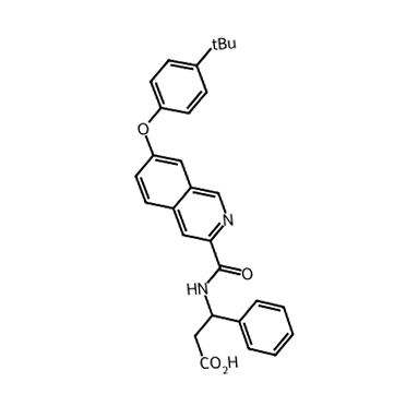 CC(C)(C)c1ccc(Oc2ccc3cc(C(=O)NC(CC(=O)O)c4ccccc4)ncc3c2)cc1